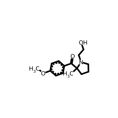 COc1ccc(C(=O)C2(C)CCCN2CCO)cc1